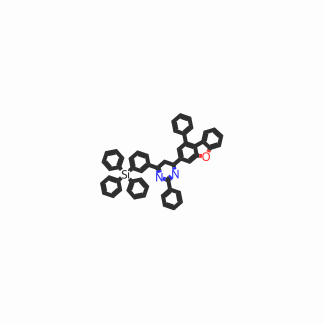 c1ccc(C2=NC(c3cc(-c4ccccc4)c4c(c3)oc3ccccc34)CC(c3cccc([Si](c4ccccc4)(c4ccccc4)c4ccccc4)c3)=N2)cc1